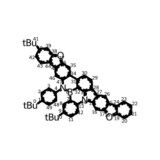 CC(C)(C)c1ccc(N2B3c4cc(C(C)(C)C)ccc4-n4c5cc6oc7ccccc7c6cc5c5ccc(c3c54)-c3cc4oc5cc(C(C)(C)C)ccc5c4cc32)cc1